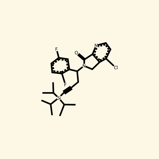 CC(C)[Si](C#CCC(c1cc(F)ccc1F)N1Cc2c(Cl)ccnc2C1=O)(C(C)C)C(C)C